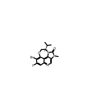 CC(C)[C@@H]1COc2c(Br)c(F)cc3ncc4c(c23)n1c(=O)n4C